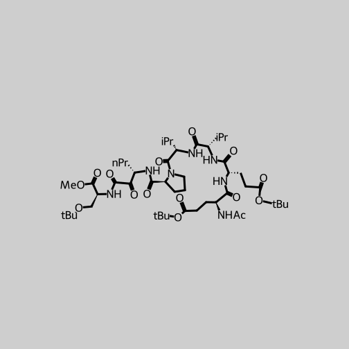 CCC[C@H](NC(=O)[C@@H]1CCCN1C(=O)[C@@H](NC(=O)[C@@H](NC(=O)[C@H](CCC(=O)OC(C)(C)C)NC(=O)[C@H](CCC(=O)OC(C)(C)C)NC(C)=O)C(C)C)C(C)C)C(=O)C(=O)N[C@@H](COC(C)(C)C)C(=O)OC